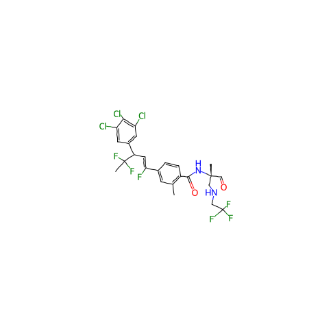 Cc1cc(/C(F)=C/C(c2cc(Cl)c(Cl)c(Cl)c2)C(C)(F)F)ccc1C(=O)N[C@](C)(C=O)CNCC(F)(F)F